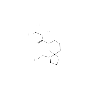 CC(C)CN1CCSC12CCCN(C(=O)[C@@H](N)[C@@H](C)O)C2